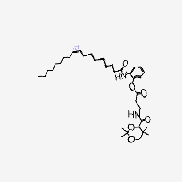 CCCCCCCC/C=C\CCCCCCCC(=O)Nc1ccccc1OC(=O)CCNC(=O)C1OC(C)(C)OCC1(C)C